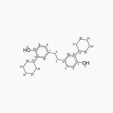 Oc1ccc(CCc2ccc(O)c(C3CCCCC3)c2)cc1C1CCCCC1